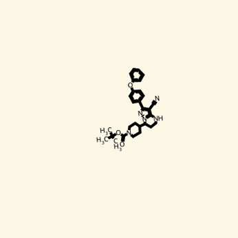 CC(C)(C)OC(=O)N1CCC(C2CCNc3c(C#N)c(-c4ccc(Oc5ccccc5)cc4)nn32)CC1